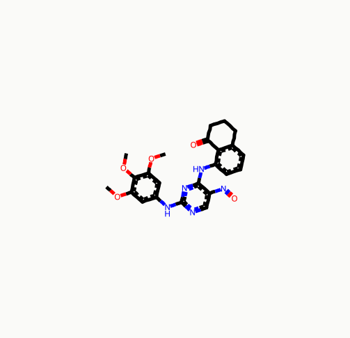 COc1cc(Nc2ncc(N=O)c(Nc3cccc4c3C(=O)CCC4)n2)cc(OC)c1OC